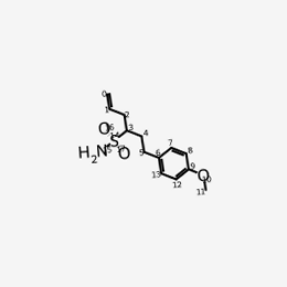 C=CCC(CCc1ccc(OC)cc1)S(N)(=O)=O